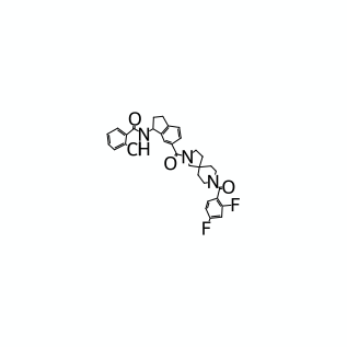 O=C(NC1CCc2ccc(C(=O)N3CCC4(CCN(C(=O)c5ccc(F)cc5F)CC4)C3)cc21)c1ccccc1Cl